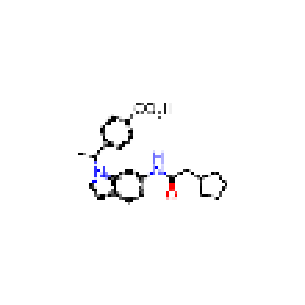 CC(c1ccc(C(=O)O)cc1)n1ccc2ccc(NC(=O)CC3CCCC3)cc21